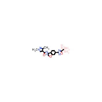 BC(B)(B)c1nc(-c2ccc3c(c2)OC[C@H]3NC(=O)c2cn(C)nc2C)no1